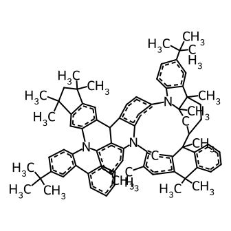 Cc1cc2c3c(c1)N(c1ccc(C(C)(C)C)cc1-c1ccccc1)c1cc4c(cc1C3c1ccc3cc1N2c1cc2c(cc1C)C(C)(C)c1ccccc1C2(C)C1CCC2(C)c5cc(C(C)(C)C)ccc5N3C2(C)C1)C(C)(C)CC4(C)C